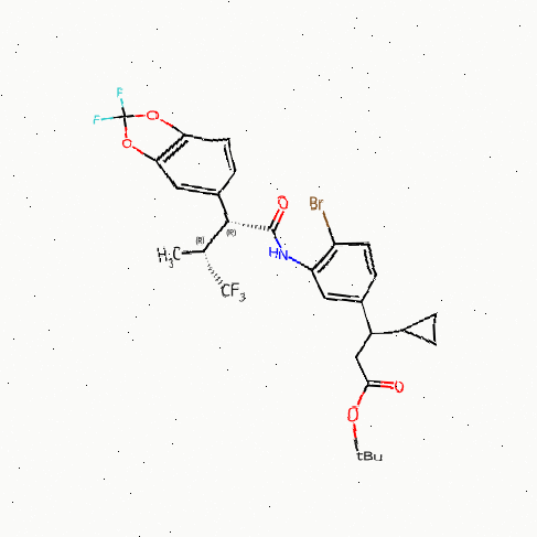 C[C@H]([C@@H](C(=O)Nc1cc(C(CC(=O)OC(C)(C)C)C2CC2)ccc1Br)c1ccc2c(c1)OC(F)(F)O2)C(F)(F)F